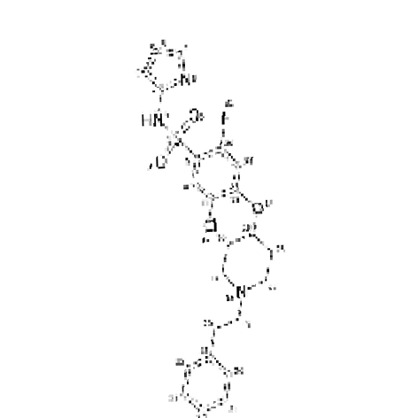 O=S(=O)(Nc1cscn1)c1cc(Cl)c(OC2CCN(CCc3ccccc3)CC2)cc1F